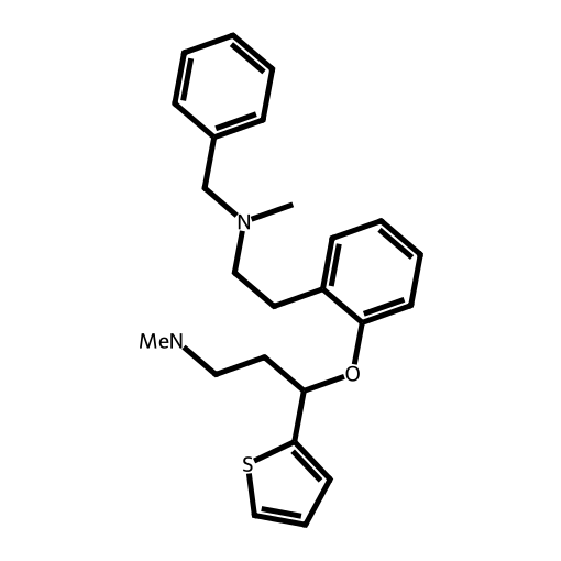 CNCCC(Oc1ccccc1CCN(C)Cc1ccccc1)c1cccs1